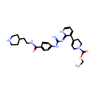 CCOC(=O)N1CC=C(c2ccc[nH]/c2=N\C(=N)Nc2ccc(C(=O)NCCC3CCNCC3)cc2)CC1